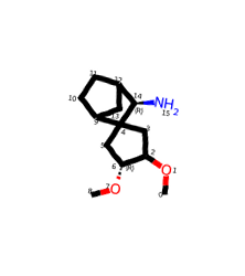 COC1CC2(C[C@H]1OC)C1CCC(C1)[C@H]2N